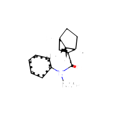 CNN(C(=O)C1=C[C@@]2(C)CC[C@@H]1C2(C)C)c1ccccc1